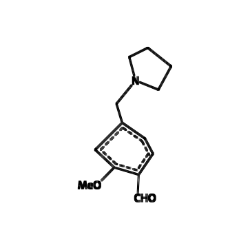 COc1cc(CN2CCCC2)ccc1C=O